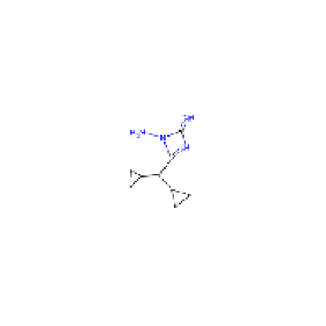 N=C1N=C(C(C2CC2)C2CC2)N1N